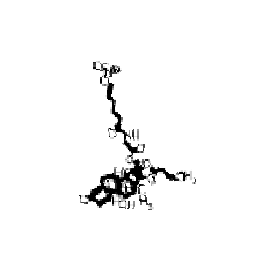 CCCC1O[C@@H]2C[C@H]3[C@@H]4CCC5=CC(=O)C=C[C@]5(C)[C@H]4[C@@H](O)C[C@]3(C)C2(C(=O)COC(=O)CNC(=O)CCCCCO[N+](=O)[O-])O1